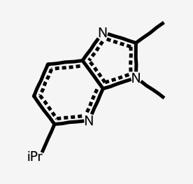 Cc1nc2ccc(C(C)C)nc2n1C